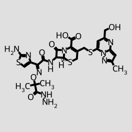 Cc1cc2nc(CO)cc(SCC3=C(C(=O)O)N4C(=O)C(NC(=O)C(=NOC(C)(C)C(=O)NN)c5csc(N)n5)[C@@H]4SC3)n2n1